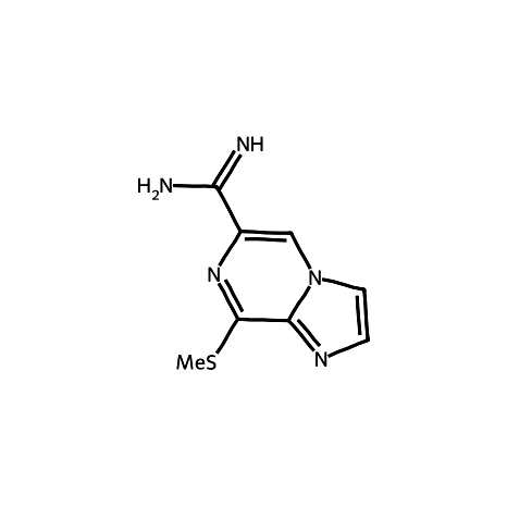 CSc1nc(C(=N)N)cn2ccnc12